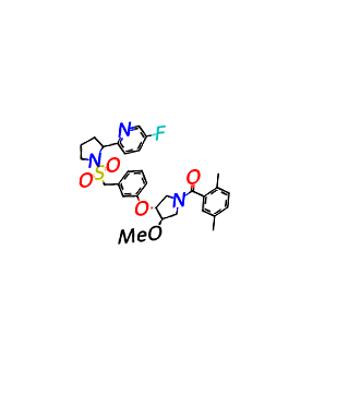 CO[C@@H]1CN(C(=O)c2cc(C)ccc2C)C[C@H]1Oc1cccc(CS(=O)(=O)N2CCCC2c2ccc(F)cn2)c1